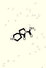 NC(=O)N1CCC2(CCNCC2)C1=O